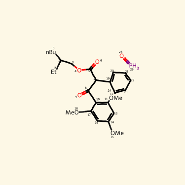 CCCCC(CC)COC(=O)C(C(=O)c1c(OC)cc(OC)cc1OC)c1ccccc1.O=[PH3]